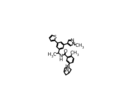 Cc1ccc(N2CC3CC(C2)N3)cc1C(=O)NC(C)c1cc(-c2cnn(C)c2)cc(-c2cccs2)c1